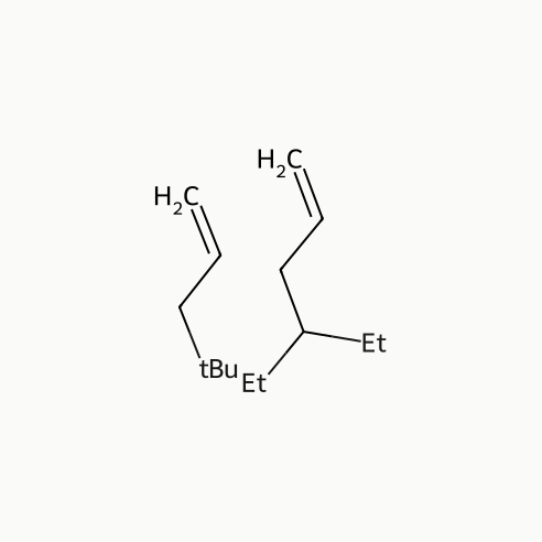 C=CCC(C)(C)C.C=CCC(CC)CC